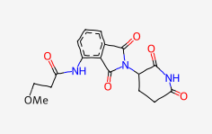 COCCC(=O)Nc1cccc2c1C(=O)N(C1CCC(=O)NC1=O)C2=O